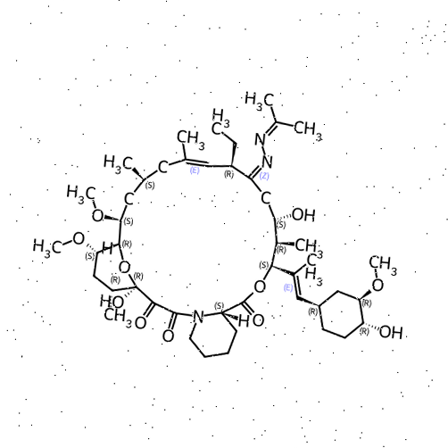 CC[C@@H]1/C=C(\C)C[C@H](C)C[C@H](OC)[C@H]2O[C@@](O)(C(=O)C(=O)N3CCCC[C@H]3C(=O)O[C@H](/C(C)=C/[C@@H]3CC[C@@H](O)[C@H](OC)C3)[C@H](C)[C@@H](O)C/C1=N/N=C(C)C)[C@H](C)C[C@@H]2OC